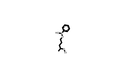 CCOC(C)CCCOB(O)c1ccccc1